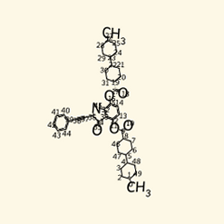 CC1CCC(C2CCC(C(=O)Oc3ccc(OC(=O)[C@H]4CC[C@H](C5CCC(C)CC5)CC4)c4c3C(=O)C(C#Cc3ccccc3)=N4)CC2)CC1